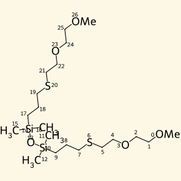 COCCOCCSCCC[Si](C)(C)O[Si](C)(C)CCCSCCOCCOC